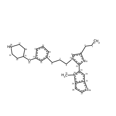 CCCc1cn(CCCc2cccc(OC3CCNCC3)c2)c(-c2cc3sccc3n2C)n1